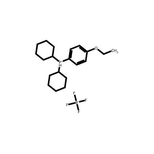 CCOc1ccc([PH+](C2CCCCC2)C2CCCCC2)cc1.F[B-](F)(F)F